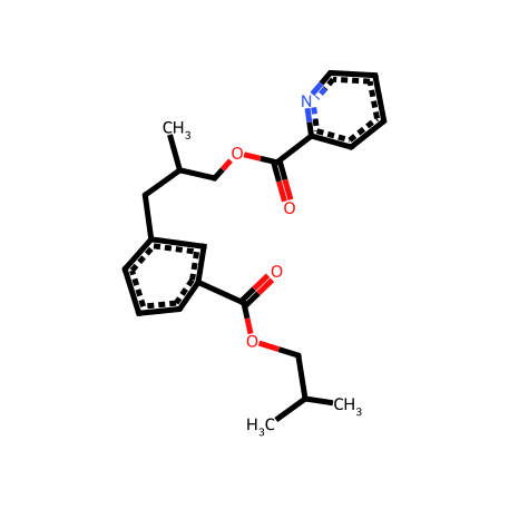 CC(C)COC(=O)c1cccc(CC(C)COC(=O)c2ccccn2)c1